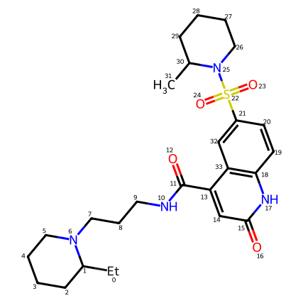 CCC1CCCCN1CCCNC(=O)c1cc(=O)[nH]c2ccc(S(=O)(=O)N3CCCCC3C)cc12